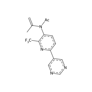 C=C(C)N(C(C)=O)c1ccc(-c2cncnc2)nc1C(F)(F)F